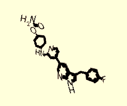 NC(=O)O[C@H]1CC[C@H](Nc2cc(-c3cnc4[nH]cc(Cc5ccc(F)cc5)c4c3)ccn2)CC1